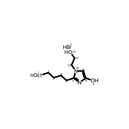 Br.CCCCCCCCCCCCc1nc(O)cn1CCO